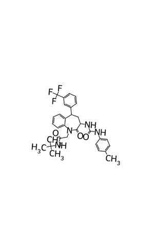 Cc1ccc(NC(=O)NC2CC(c3cccc(C(F)(F)F)c3)c3ccccc3N(CC(=O)NC(C)(C)C)C2=O)cc1